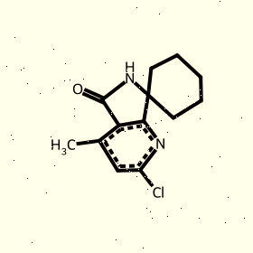 Cc1cc(Cl)nc2c1C(=O)NC21CCCCC1